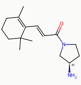 CC1=C(C=CC(=O)N2CC[C@@H](N)C2)C(C)(C)CCC1